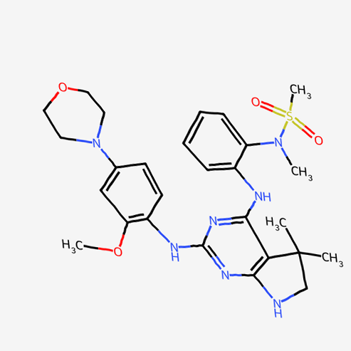 COc1cc(N2CCOCC2)ccc1Nc1nc2c(c(Nc3ccccc3N(C)S(C)(=O)=O)n1)C(C)(C)CN2